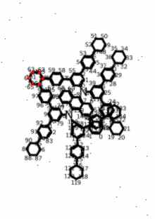 c1ccc(-c2ccc3c(N(c4cc(-c5ccc(C6CCCCC6)cc5)cc(-c5ccc(C6CCCCC6)cc5)c4)c4cc(-c5ccc(C6CCCCC6)cc5)cc(-c5ccc(C6CCCCC6)cc5)c4)c4ccccc4c(N(c4cc(-c5ccc(C6CCCCC6)cc5)cc(-c5ccc(C6CCCCC6)cc5)c4)C4c5cc(-c6ccc(C7CCCCC7)cc6)cc(-c6ccc(C7CCCCC7)cc6)c54)c3c2)cc1